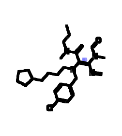 C=N/C(=C(/C(=C)N(C)CCC)N(CCCCC1CCCC1)Cc1ccc(Cl)cc1)N(C)C=O